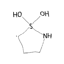 OS1(O)[CH]CCN1